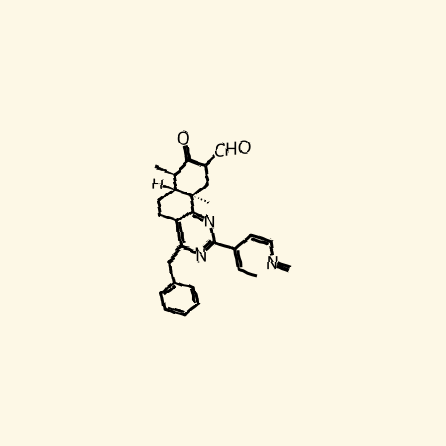 C=N/C=C\C(=C/C)c1nc(Cc2ccccc2)c2c(n1)[C@]1(C)CC(C=O)C(=O)[C@H](C)[C@H]1CC2